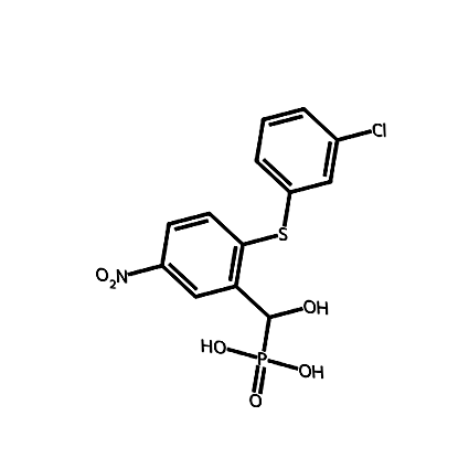 O=[N+]([O-])c1ccc(Sc2cccc(Cl)c2)c(C(O)P(=O)(O)O)c1